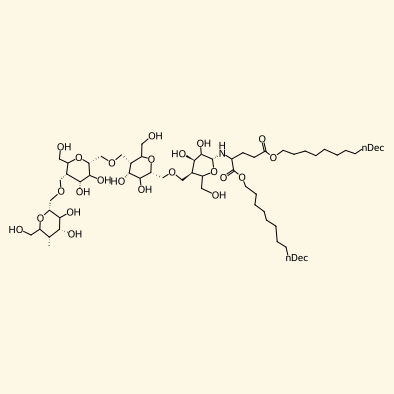 CCCCCCCCCCCCCCCCCCOC(=O)CCC(N[C@@H]1OC(CO)[C@@H](COC[C@H]2OC(CO)[C@@H](COC[C@H]3OC(CO)[C@@H](COC[C@H]4OC(CO)[C@@H](C)[C@@H](O)C4O)[C@@H](O)C3O)[C@@H](O)C2O)[C@@H](O)C1O)C(=O)OCCCCCCCCCCCCCCCCCC